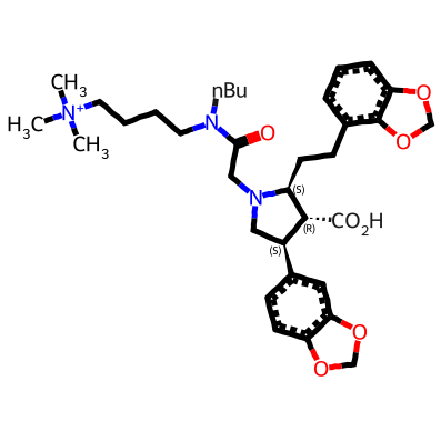 CCCCN(CCCC[N+](C)(C)C)C(=O)CN1C[C@H](c2ccc3c(c2)OCO3)[C@@H](C(=O)O)[C@@H]1CCc1cccc2c1OCO2